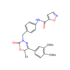 CCC1OC(=O)N(Cc2ccc(NC(=O)c3ccno3)cc2)N=C1c1ccc(OC)c(OC)c1